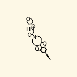 CC#Cc1cc(C)c(C2C(=O)CCCN(C(=O)CNOC3CCOCC3)CCCC2=O)c(C)c1